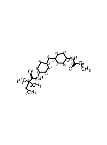 CCC(C)(C)C(=O)NC1CCC(CC2CCC(NC(=O)OC)CC2)CC1